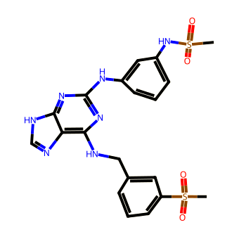 CS(=O)(=O)Nc1cccc(Nc2nc(NCc3cccc(S(C)(=O)=O)c3)c3nc[nH]c3n2)c1